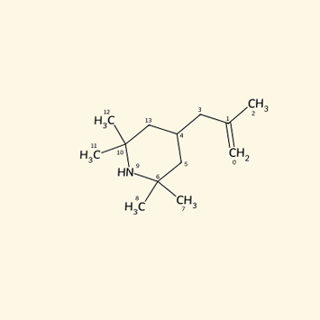 C=C(C)CC1CC(C)(C)NC(C)(C)C1